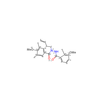 C=CCCN(NC(=O)c1cccc(OC)c1C)C(=O)c1cc(C)c(OC)c(C)c1